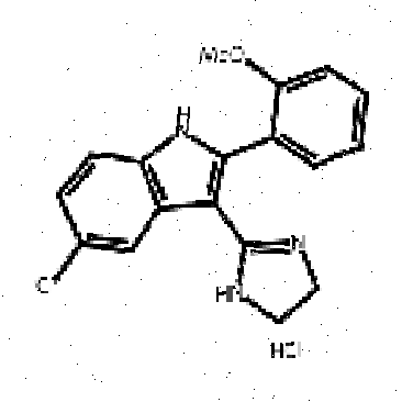 COc1ccccc1-c1[nH]c2ccc(Cl)cc2c1C1=NCCN1.Cl